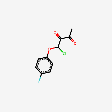 CC(=O)C(=O)C(Cl)Oc1ccc(F)cc1